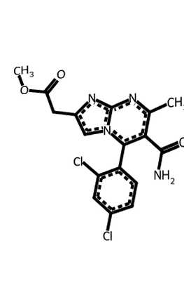 COC(=O)Cc1cn2c(-c3ccc(Cl)cc3Cl)c(C(N)=O)c(C)nc2n1